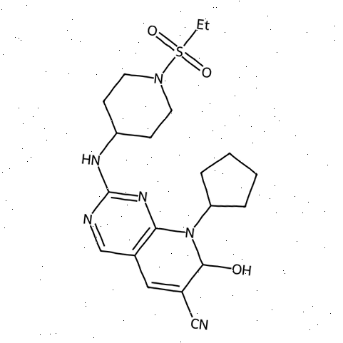 CCS(=O)(=O)N1CCC(Nc2ncc3c(n2)N(C2CCCC2)C(O)C(C#N)=C3)CC1